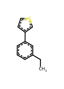 CCc1cccc(-c2ccsc2)c1